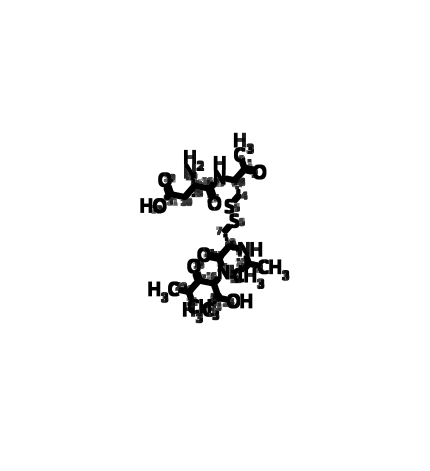 CC(=O)[C@H](CSSC[C@H](NC(C)C)C(=O)NC(C(=O)C(C)C)[C@@H](C)O)NC(=O)[C@@H](N)CC(=O)O